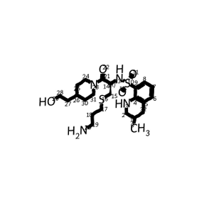 CC1CNc2c(cccc2S(=O)(=O)N[C@@H](CSCCCN)C(=O)N2CCC(CCO)CC2)C1